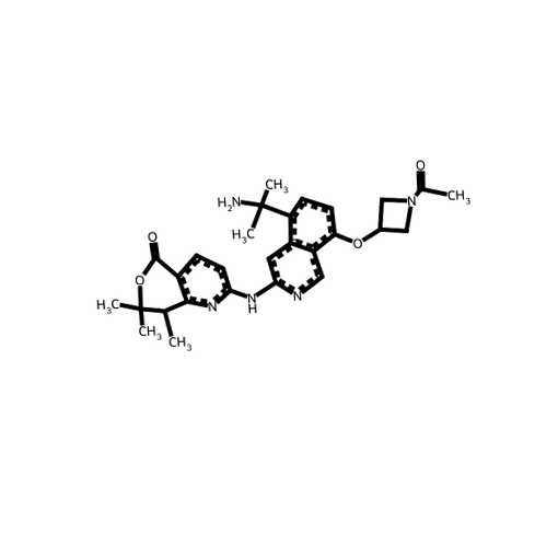 CC(=O)N1CC(Oc2ccc(C(C)(C)N)c3cc(Nc4ccc5c(n4)C(C)C(C)(C)OC5=O)ncc23)C1